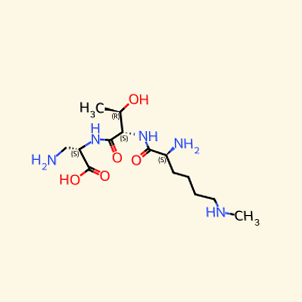 CNCCCC[C@H](N)C(=O)N[C@H](C(=O)N[C@@H](CN)C(=O)O)[C@@H](C)O